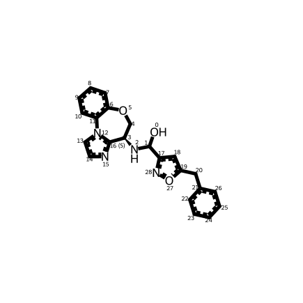 OC(N[C@@H]1COc2ccccc2-n2ccnc21)c1cc(Cc2ccccc2)on1